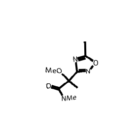 CNC(=O)C(C)(OC)c1noc(C)n1